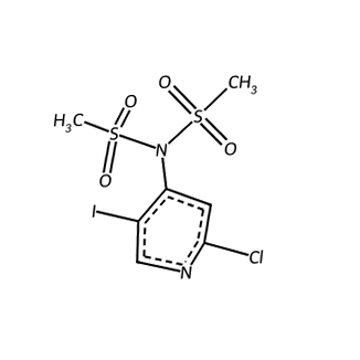 CS(=O)(=O)N(c1cc(Cl)ncc1I)S(C)(=O)=O